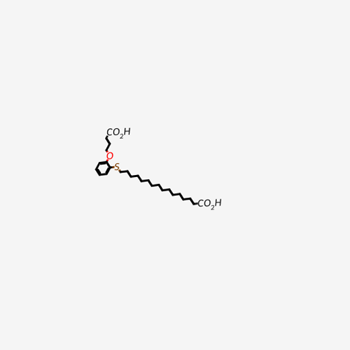 O=C(O)CCCCCCCCCCCCCCCSc1ccccc1OCCCC(=O)O